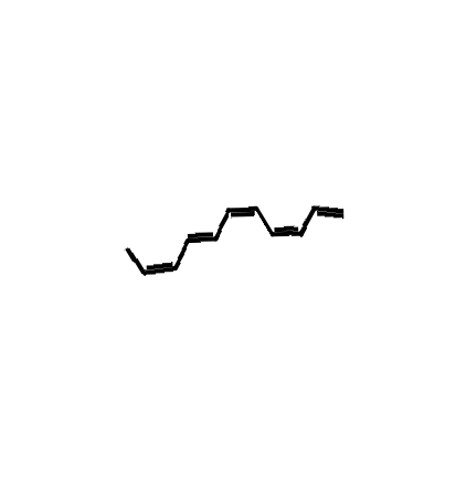 C=C\C=C/C=C\C=C\C=C/C